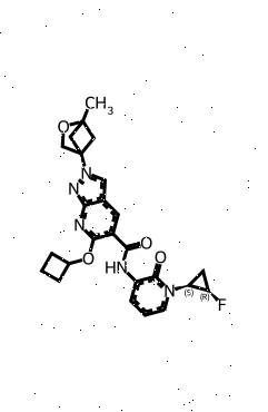 CC12CC(n3cc4cc(C(=O)Nc5cccn([C@H]6C[C@H]6F)c5=O)c(OC5CCC5)nc4n3)(CO1)C2